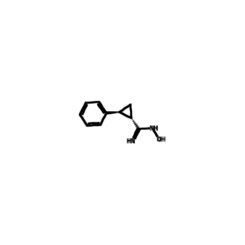 N=C(NO)[C@H]1C[C@@H]1c1ccccc1